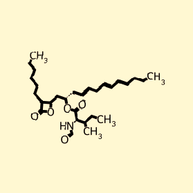 CCCCC/C=C/C/C=C/C[C@@H](CC1OC(=O)C1CCCCCC)OC(=O)[C@@H](NC=O)C(C)CC